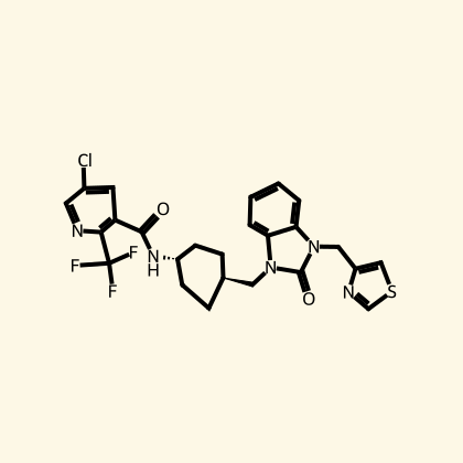 O=C(N[C@H]1CC[C@H](Cn2c(=O)n(Cc3cscn3)c3ccccc32)CC1)c1cc(Cl)cnc1C(F)(F)F